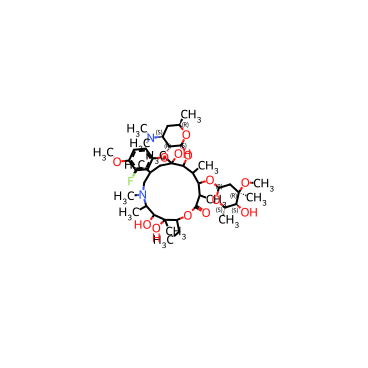 CCC1OC(=O)C(C)C(O[C@H]2C[C@@](C)(OC)[C@@H](O)[C@H](C)O2)C(C)C(O[C@@H]2O[C@H](C)C[C@H](N(C)C)[C@H]2Oc2ccc(OC)c(F)c2)C(C)(O)CC(C)CN(C)C(C)C(O)C1(C)O